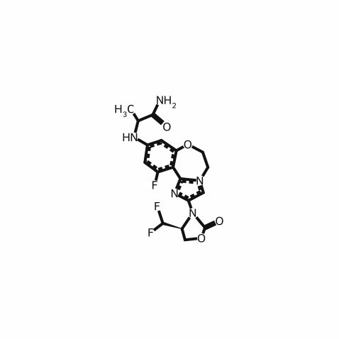 CC(Nc1cc(F)c2c(c1)OCCn1cc(N3C(=O)OC[C@H]3C(F)F)nc1-2)C(N)=O